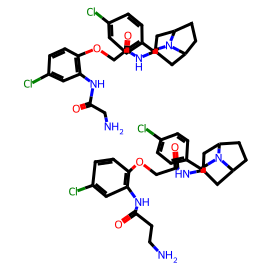 NCC(=O)Nc1cc(Cl)ccc1OCC(=O)NC1CC2CCC(C1)N2Cc1ccc(Cl)cc1.NCCC(=O)Nc1cc(Cl)ccc1OCC(=O)NC1CC2CCC(C1)N2Cc1ccc(Cl)cc1